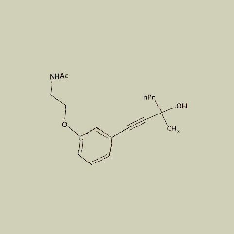 CCCC(C)(O)C#Cc1cccc(OCCNC(C)=O)c1